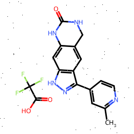 Cc1cc(-c2n[nH]c3cc4c(cc23)CNC(=O)N4)ccn1.O=C(O)C(F)(F)F